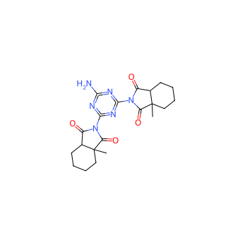 CC12CCCCC1C(=O)N(c1nc(N)nc(N3C(=O)C4CCCCC4(C)C3=O)n1)C2=O